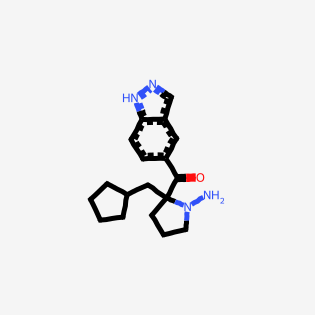 NN1CCCC1(CC1CCCC1)C(=O)c1ccc2[nH]ncc2c1